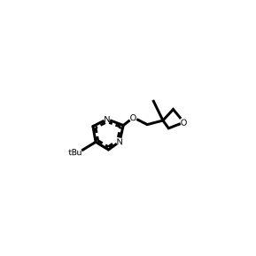 CC1(COc2ncc(C(C)(C)C)cn2)COC1